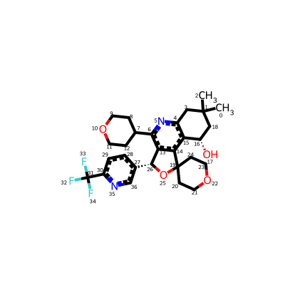 CC1(C)Cc2nc(C3CCOCC3)c3c(c2[C@@H](O)C1)C1(CCOCC1)O[C@@H]3c1ccc(C(F)(F)F)nc1